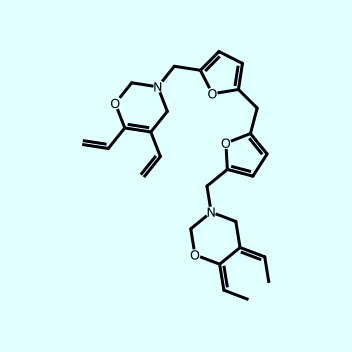 C=CC1=C(C=C)OCN(Cc2ccc(Cc3ccc(CN4COC(=C/C)/C(=C\C)C4)o3)o2)C1